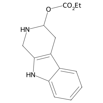 CCOC(=O)OC1Cc2c([nH]c3ccccc23)CN1